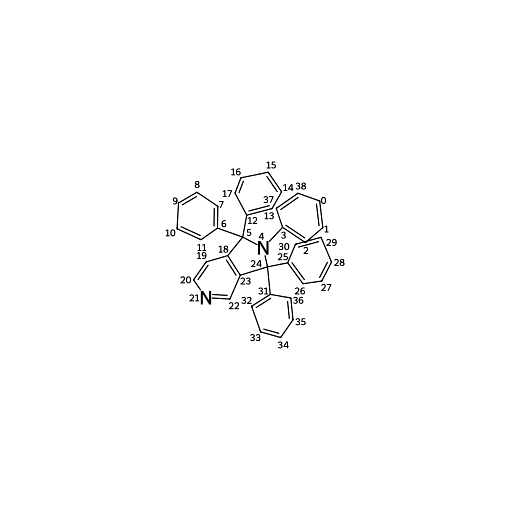 c1ccc(N2C(c3ccccc3)(c3ccccc3)c3ccncc3C2(c2ccccc2)c2ccccc2)cc1